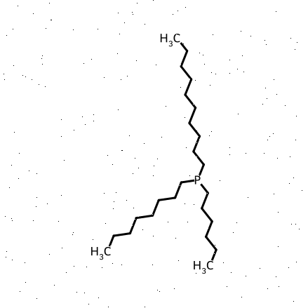 CCCCCCCCCCP(CCCCCC)CCCCCCCC